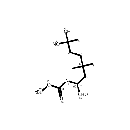 CC(O)(C#N)CCC(C)(C)C[C@@H](C=O)NC(=O)OC(C)(C)C